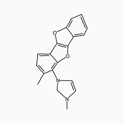 Cc1ccc2c(oc3c4ccccc4oc23)c1N1C=CN(C)C1